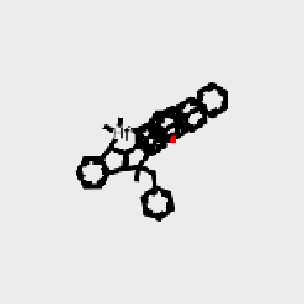 CC1(Cc2ccccc2)C2=C(c3ccc(-c4ccccc4)cc3)[CH](c3ccccc32)[Hf]([CH3])([CH3])[CH]2C(c3ccc(-c4ccccc4)cc3)=C1c1ccccc12